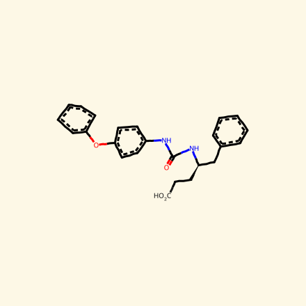 O=C(O)CC[C@H](Cc1ccccc1)NC(=O)Nc1ccc(Oc2ccccc2)cc1